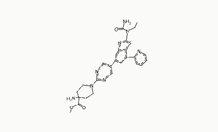 CCN(C(N)=O)c1nc2cc(-c3cnc(N4CCC(N)(C(=O)OC)CC4)nc3)cc(-c3ccccn3)c2s1